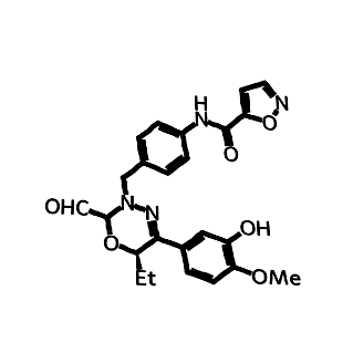 CC[C@H]1OC(C=O)N(Cc2ccc(NC(=O)c3ccno3)cc2)N=C1c1ccc(OC)c(O)c1